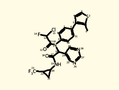 Cc1sccc1-c1ccc(N(C(=O)C(F)Cl)C(C(=O)NC2CC2C(F)(F)F)c2cncnc2)cc1